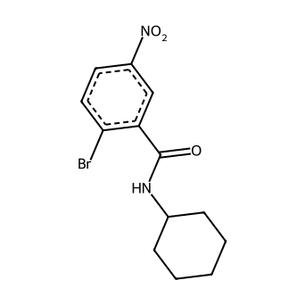 O=C(NC1CCCCC1)c1cc([N+](=O)[O-])ccc1Br